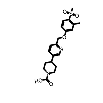 Cc1cc(OCc2ccc(C3CCN(C(=O)O)CC3)cn2)ccc1S(C)(=O)=O